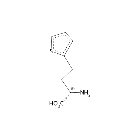 N[C@@H](CCc1cccs1)C(=O)O